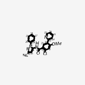 COc1cc(Cl)c(C(=O)Nc2cc(C#N)nn2-c2ccccc2)cc1-c1ccccn1